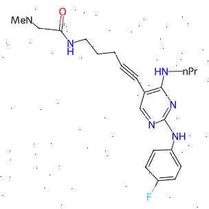 CCCNc1nc(Nc2ccc(F)cc2)ncc1C#CCCCNC(=O)CNC